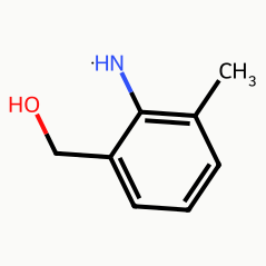 Cc1cccc(CO)c1[NH]